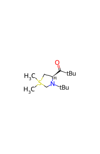 CC(C)(C)C(=O)[C@@H]1CS(C)(C)CN1C(C)(C)C